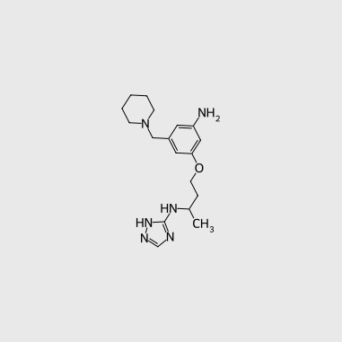 CC(CCOc1cc(N)cc(CN2CCCCC2)c1)Nc1ncn[nH]1